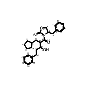 O=C1OCC(Cc2ccccc2)N1C(=O)C(CC1CCCC1)C(O)CCc1ccccc1